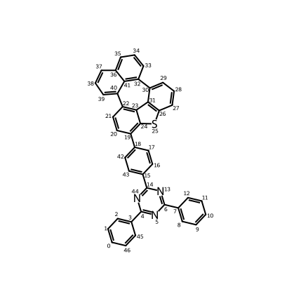 c1ccc(-c2nc(-c3ccccc3)nc(-c3ccc(-c4ccc5c6c4sc4cccc(c46)-c4cccc6cccc-5c46)cc3)n2)cc1